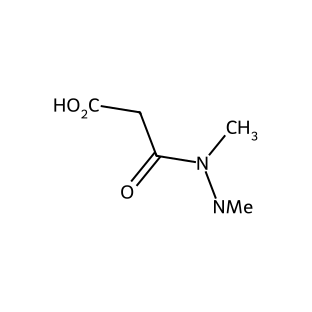 CNN(C)C(=O)CC(=O)O